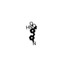 CC1(C)OC(=O)Nc2ccc(Cc3cccc(C#N)c3)cc21